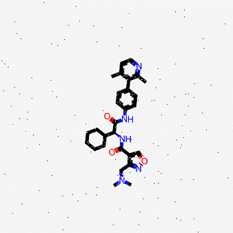 Cc1ccnc(C)c1-c1ccc(NC(=O)[C@@H](NC(=O)c2conc2CN(C)C)C2CCCCC2)cc1